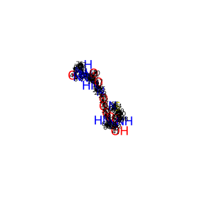 CC[C@@H]1C(=O)N(C)c2cnc(Nc3ccc(C(=O)NC4CCN(CCOCCOCCOCC(=O)N[C@H](CN5C[C@H](O)C[C@H]5C(=O)N[C@@H](C)c5ccc(-c6scnc6C)cc5)C(C)(C)C)CC4)cc3OC)nc2N1C1CCCC1